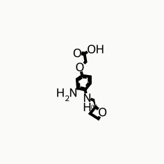 Nc1cc(OCC(=O)O)ccc1NC[C@@H]1CCO1